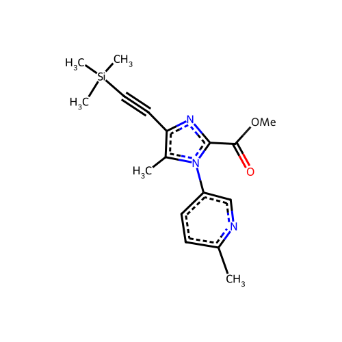 COC(=O)c1nc(C#C[Si](C)(C)C)c(C)n1-c1ccc(C)nc1